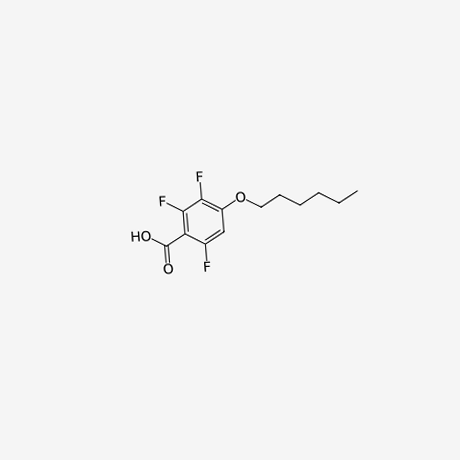 CCCCCCOc1cc(F)c(C(=O)O)c(F)c1F